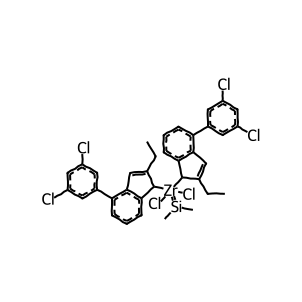 CCC1=Cc2c(-c3cc(Cl)cc(Cl)c3)cccc2[CH]1[Zr]([Cl])([Cl])([CH]1C(CC)=Cc2c(-c3cc(Cl)cc(Cl)c3)cccc21)=[Si](C)C